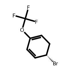 FC(F)(F)OC1=CC[C@H](Br)C=C1